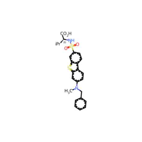 CC(C)[C@H](NS(=O)(=O)c1ccc2c(c1)sc1cc(N(C)Cc3ccccc3)ccc12)C(=O)O